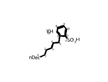 CCCCCCCCCCCCCCCc1ccccc1S(=O)(=O)O.[KH]